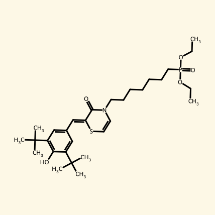 CCOP(=O)(CCCCCCCN1C=CSC(=Cc2cc(C(C)(C)C)c(O)c(C(C)(C)C)c2)C1=O)OCC